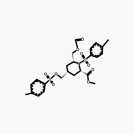 COC(=O)[C@@H]1C[C@H](COS(=O)(=O)c2ccc(C)cc2)C[C@H](COC=O)N1S(=O)(=O)c1ccc(C)cc1